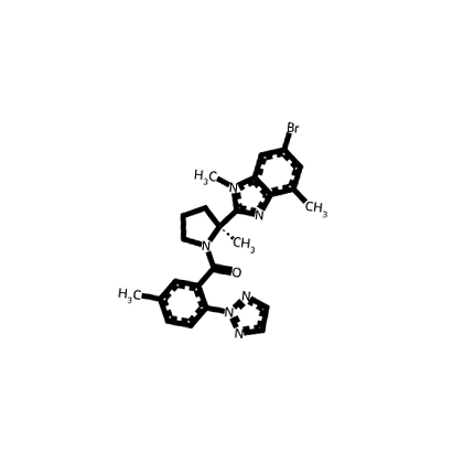 Cc1ccc(-n2nccn2)c(C(=O)N2CCC[C@@]2(C)c2nc3c(C)cc(Br)cc3n2C)c1